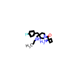 CCCNCC1(Cc2ccc(F)cc2)CCN(C(=O)C2(N)CCC2)CC1